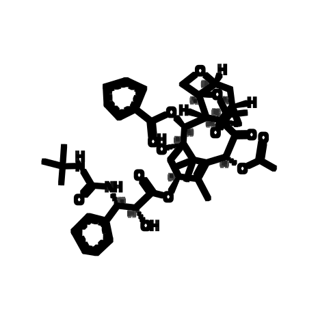 CC(=O)O[C@H]1C(=O)[C@]23C[C@H]2C[C@H]2OC[C@@]2(OC(C)=O)[C@H]3[C@H](OC(=O)c2ccccc2)[C@]2(O)C[C@H](OC(=O)[C@H](O)[C@@H](NC(=O)NC(C)(C)C)c3ccccc3)C(C)=C1C2(C)C